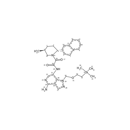 C[C@H]1CC[C@H](c2ccc3ccccc3c2)N(C(=O)C(=O)Nc2cnc(N)c3cnn(COCC[Si](C)(C)C)c23)C1